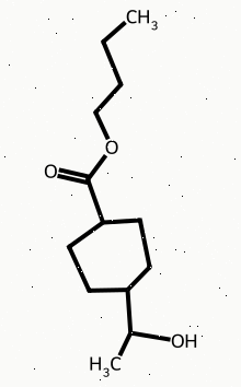 CCCCOC(=O)C1CCC(C(C)O)CC1